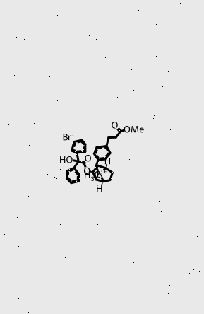 COC(=O)CCc1ccc(C[N@+]2(C)[C@@H]3CC[C@H]2C[C@@H](OC(=O)C(O)(c2ccccc2)c2ccccc2)C3)cc1.[Br-]